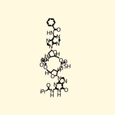 CC(C)C(=O)Nc1nc2c(ncn2[C@@H]2O[C@@H]3COS(=O)(=O)N[C@H]4C[C@H](n5cnc6c(NC(=O)c7ccccc7)ncnc65)O[C@@H]4CO[P@@](=O)(S)O[C@@H]2C3)c(=O)[nH]1